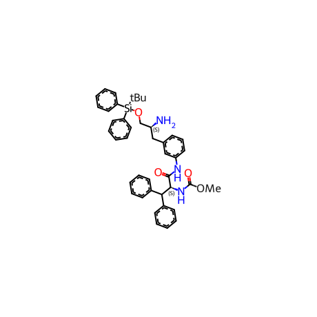 COC(=O)N[C@H](C(=O)Nc1cccc(C[C@H](N)CO[Si](c2ccccc2)(c2ccccc2)C(C)(C)C)c1)C(c1ccccc1)c1ccccc1